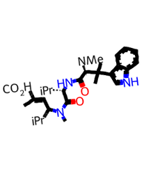 CN[C@H](C(=O)N[C@H](C(=O)N(C)C(/C=C(\C)C(=O)O)C(C)C)C(C)C)C(C)(C)c1c[nH]c2ccccc12